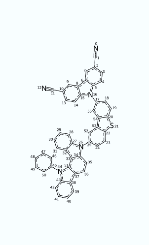 N#Cc1ccc2c(c1)c1cc(C#N)ccc1n2-c1ccc2sc3ccc(-n4c5ccccc5c5c4ccc4c6ccccc6n(-c6ccccc6)c45)cc3c2c1